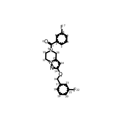 O=C(c1cccc(F)c1)N1CCn2nc(OCc3cccc(F)c3)cc2C1